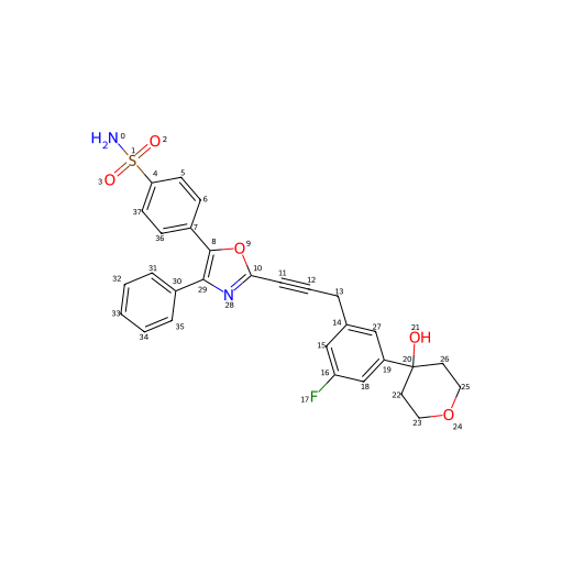 NS(=O)(=O)c1ccc(-c2oc(C#CCc3cc(F)cc(C4(O)CCOCC4)c3)nc2-c2ccccc2)cc1